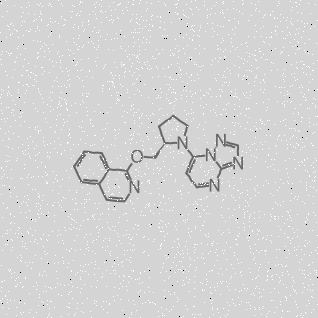 c1ccc2c(OC[C@H]3CCCN3c3ccnc4ncnn34)nccc2c1